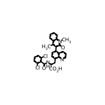 Cc1c(-c2ccc(C[C@H](NC(=O)c3c(Cl)cccc3Cl)C(=O)O)c3ncccc23)c(=O)n(C)c2ccccc12